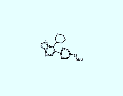 CCCCOc1ccc(-c2cnc3ccnn3c2C2CCCCC2)cc1